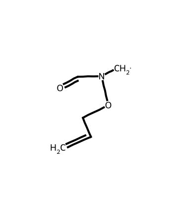 [CH2]N(C=O)OCC=C